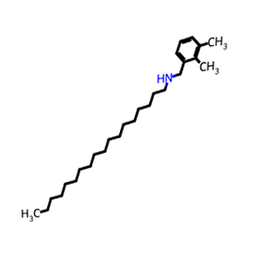 CCCCCCCCCCCCCCCCCCNCc1cccc(C)c1C